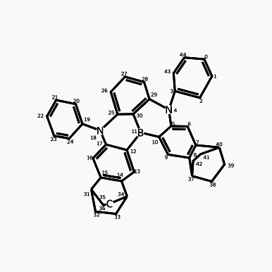 c1ccc(N2c3cc4c(cc3B3c5cc6c(cc5N(c5ccccc5)c5cccc2c53)C2CCC6CC2)C2CCC4CC2)cc1